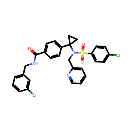 O=C(NCc1cccc(Cl)c1)c1ccc(C2(N(Cc3ccccn3)S(=O)(=O)c3ccc(Cl)cc3)CC2)cc1